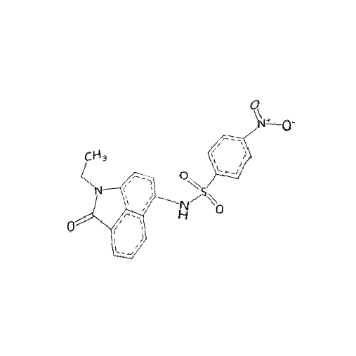 CCN1C(=O)c2cccc3c(NS(=O)(=O)c4ccc([N+](=O)[O-])cc4)ccc1c23